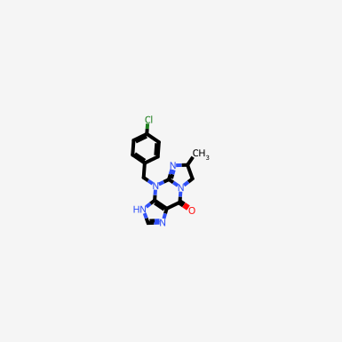 CC1CN2C(=O)c3nc[nH]c3N(Cc3ccc(Cl)cc3)C2=N1